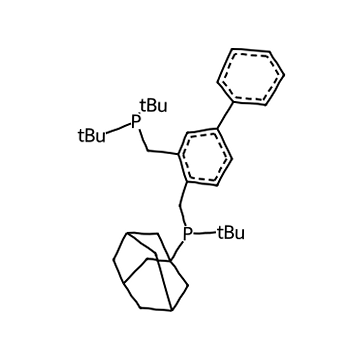 CC(C)(C)P(Cc1cc(-c2ccccc2)ccc1CP(C(C)(C)C)C12CC3CC(CC(C3)C1)C2)C(C)(C)C